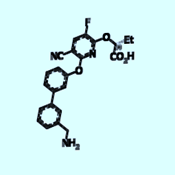 CC[C@@H](Oc1nc(Oc2cccc(-c3cccc(CN)c3)c2)c(C#N)cc1F)C(=O)O